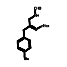 CCCCCCN=C(CNC=O)Cc1ccc(C(C)(C)C)cc1